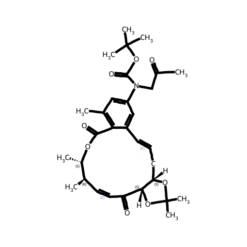 CC(=O)CN(C(=O)OC(C)(C)C)c1cc(C)c2c(c1)/C=C/C[C@@H]1OC(C)(C)O[C@@H]1C(=O)/C=C\[C@@H](C)[C@H](C)OC2=O